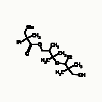 CCC(OC(C)(C)C(C)COC(=O)C(C)(CC(C)(C)C)C(C)C)C(C)(C)CO